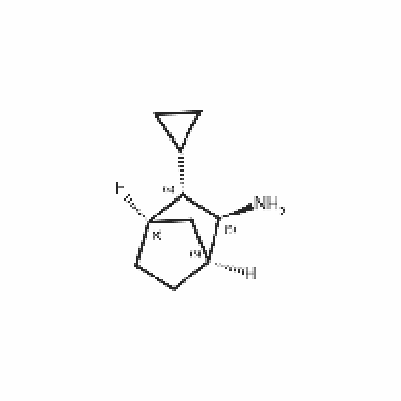 N[C@H]1[C@H]2CC[C@H](C2)[C@@H]1C1CC1